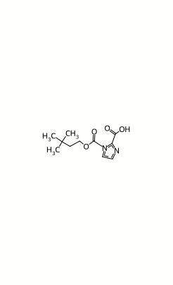 CC(C)(C)CCOC(=O)n1ccnc1C(=O)O